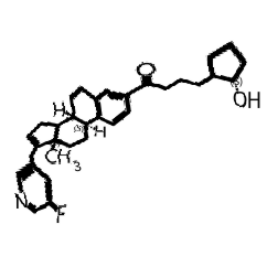 C[C@]12CC[C@@H]3c4ccc(C(=O)CCCC5CCC[C@@H]5O)cc4CC[C@H]3C1CC=C2c1cncc(F)c1